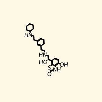 O=c1[nH]c2c(O)ccc([C@@H](O)CNCCc3cccc(CCNC4CCCCC4)c3)c2s1